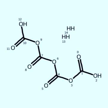 O=C(O)OC(=O)OC(=O)OC(=O)O.[HH].[HH]